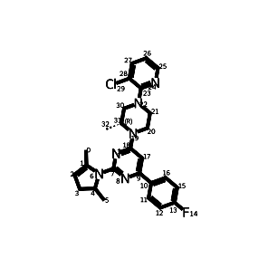 CC1=CCC(C)N1c1nc(-c2ccc(F)cc2)cc(N2CCN(c3ncccc3Cl)C[C@H]2C)n1